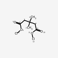 CC(C)(CC(=O)OCl)CC(=O)OCl